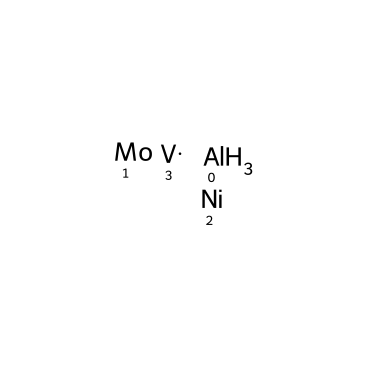 [AlH3].[Mo].[Ni].[V]